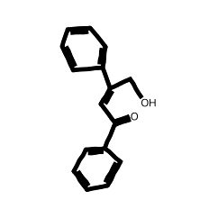 O=C(C=C(CO)c1ccccc1)c1ccccc1